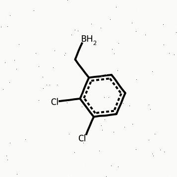 BCc1cccc(Cl)c1Cl